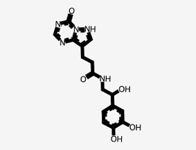 O=C(CCc1c[nH]n2c(=O)ncnc12)NCC(O)c1ccc(O)c(O)c1